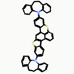 C1=CC2=C(CC1)N(c1ccc3c(c1)Sc1cccc4c1c-3cc1sc3cc(N5c6ccccc6CCc6ccccc65)ccc3c14)C1=C(C=CCC1)CC2